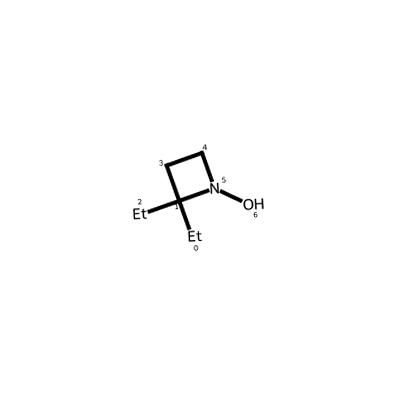 CCC1(CC)CCN1O